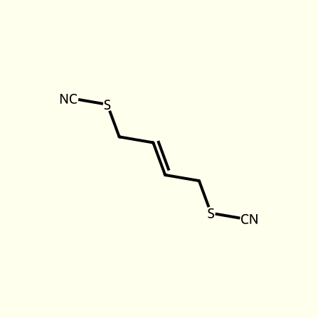 N#CSCC=CCSC#N